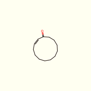 O=C1C=CCCCCCCCCCC1